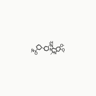 COc1cc2nc(C)nc(NC(C)c3cccc(-c4cccc(C(=O)N(C)C)c4)c3)c2cc1OC